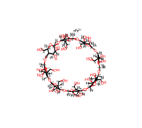 OC[C@H]1O[C@@H]2O[C@H]3[C@H](O)[C@@H](O)[C@@H](O[C@H]4[C@H](O)[C@@H](O)[C@@H](O[C@H]5[C@H](O)[C@@H](O)[C@@H](O[C@H]6[C@H](O)[C@@H](O)[C@@H](O[C@H]7[C@H](O)[C@@H](O)[C@@H](O[C@H]8[C@H](O)[C@@H](O)[C@@H](O[C@H]9[C@H](O)[C@@H](O)[C@@H](O[C@H]1[C@H](O)[C@H]2O)O[C@@H]9CO)O[C@@H]8CO)O[C@@H]7CO)O[C@@H]6CO)O[C@@H]5CO)O[C@@H]4CO)O[C@@H]3CO.[Fe+2]